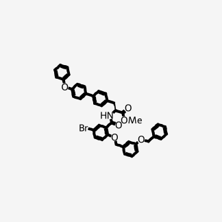 COC(=O)[C@H](Cc1ccc(-c2ccc(Oc3ccccc3)cc2)cc1)NC(=O)c1cc(Br)ccc1OCc1cccc(OCc2ccccc2)c1